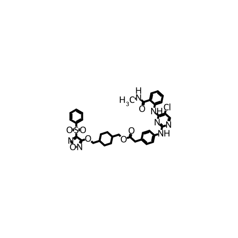 CNC(=O)c1ccccc1Nc1nc(Nc2ccc(CC(=O)OCC3CCC(COc4nonc4S(=O)(=O)c4ccccc4)CC3)cc2)ncc1Cl